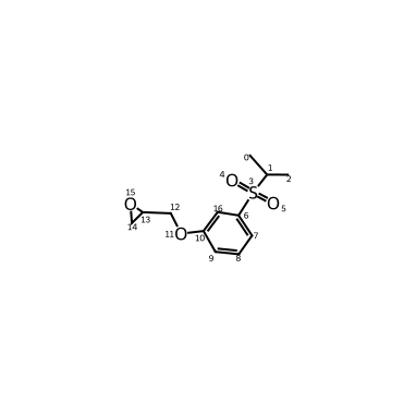 CC(C)S(=O)(=O)c1cccc(OCC2CO2)c1